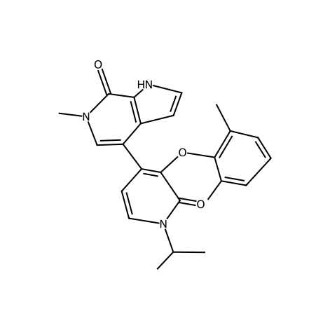 Cc1cccc(C)c1Oc1c(-c2cn(C)c(=O)c3[nH]ccc23)ccn(C(C)C)c1=O